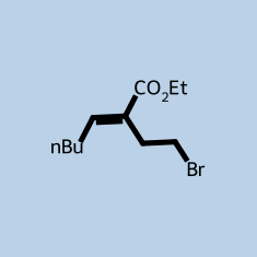 CCCCC=C(CCBr)C(=O)OCC